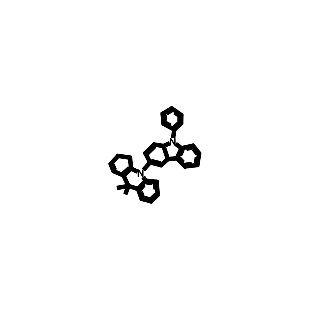 CC1(C)C2=C(CCC=C2)N(C2=CC3c4ccccc4N(c4ccccc4)C3C=C2)c2ccccc21